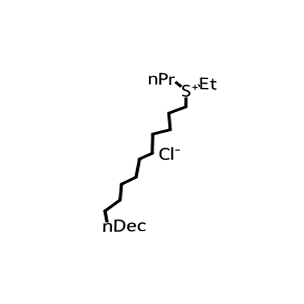 CCCCCCCCCCCCCCCCCCCC[S+](CC)CCC.[Cl-]